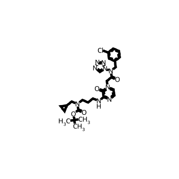 CC(C)(C)OC(=O)N(CCCNc1nccn(CC(=O)N(Cc2cccc(Cl)c2)n2cnnn2)c1=O)CC1CC1